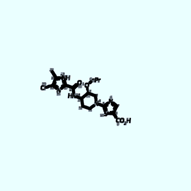 CCCO[C@H]1CN(c2ncc(C(=O)O)s2)CCC1NC(=O)c1nc(Cl)c(C)[nH]1